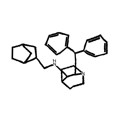 c1ccc(C(c2ccccc2)C2C(NCC3CC4CCC3C4)C3CCN2CC3)cc1